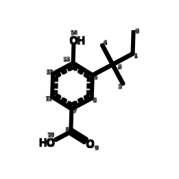 CCC(C)(C)c1cc(C(=O)O)ccc1O